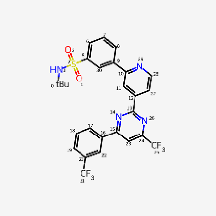 CC(C)(C)NS(=O)(=O)c1cccc(-c2cc(-c3nc(-c4cccc(C(F)(F)F)c4)cc(C(F)(F)F)n3)ccn2)c1